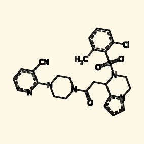 Cc1cccc(Cl)c1S(=O)(=O)N1CCn2cccc2C1CC(=O)N1CCN(c2ncccc2C#N)CC1